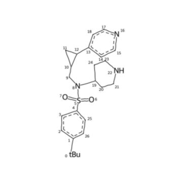 CC(C)(C)c1ccc(S(=O)(=O)N(CC2CC2c2ccncc2)C2CCNCC2)cc1